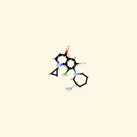 N[C@H]1CCCCN(c2c(F)cc3c(=O)ccn(C4CC4)c3c2Cl)C1